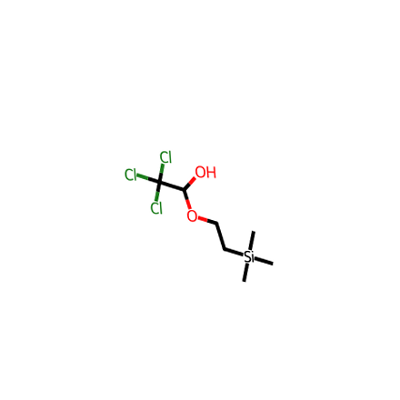 C[Si](C)(C)CCOC(O)C(Cl)(Cl)Cl